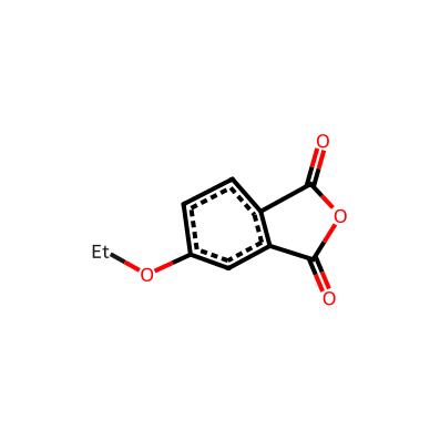 CCOc1ccc2c(c1)C(=O)OC2=O